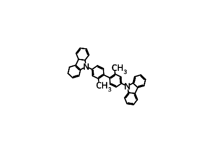 Cc1cc(N2C3=C(CCC=C3)C3C=CC=CC32)ccc1-c1ccc(-n2c3ccccc3c3ccccc32)cc1C